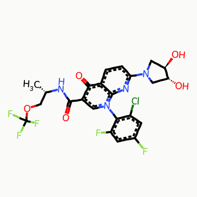 C[C@@H](COC(F)(F)F)NC(=O)c1cn(-c2c(F)cc(F)cc2Cl)c2nc(N3C[C@@H](O)[C@H](O)C3)ccc2c1=O